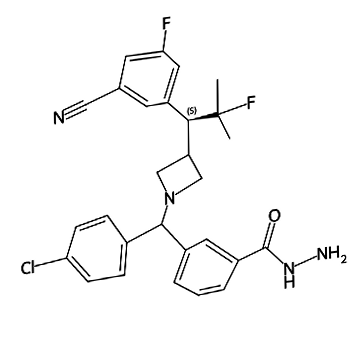 CC(C)(F)[C@H](c1cc(F)cc(C#N)c1)C1CN(C(c2ccc(Cl)cc2)c2cccc(C(=O)NN)c2)C1